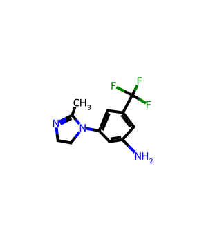 CC1=NCCN1c1cc(N)cc(C(F)(F)F)c1